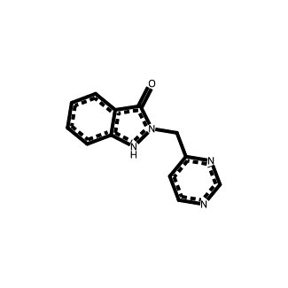 O=c1c2ccccc2[nH]n1Cc1ccncn1